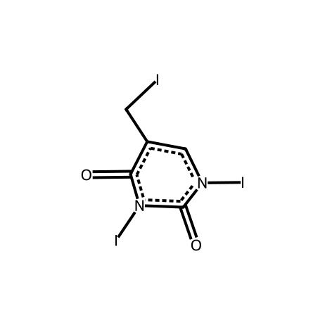 O=c1c(CI)cn(I)c(=O)n1I